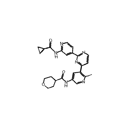 Cc1ncc(NC(=O)C2CCOCC2)cc1-c1ccnc(-c2ccnc(NC(=O)C3CC3)c2)n1